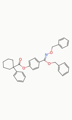 O=C(Oc1ccc(/C(=N/OCc2ccccc2)OCc2ccccc2)cc1)C1(c2ccccc2)CCCCC1